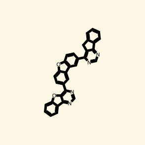 c1ccc2c(c1)Cc1c(-c3ccc4oc5ccc(-c6ncnc7c6oc6ccccc67)cc5c4c3)ncnc1-2